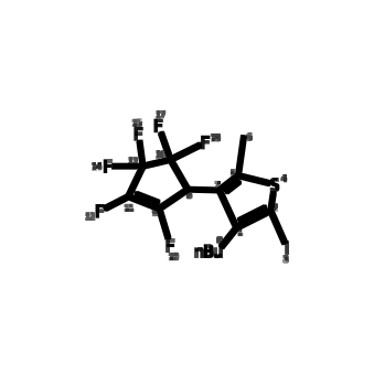 CCCCc1c(I)sc(C)c1C1C(F)=C(F)C(F)(F)C1(F)F